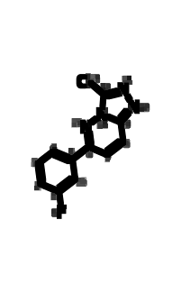 Fc1cccc(-c2ccc3nnc(Cl)n3n2)c1